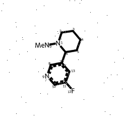 CNN1CCCCC1c1cncc(F)c1